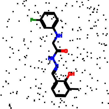 Cc1cccc(C=NNC(=O)CNc2cccc(F)c2)c1O